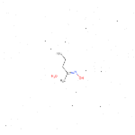 CCCCCCC(C)=NO.O